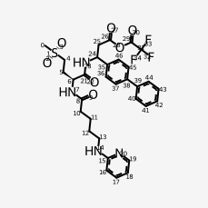 CS(=O)(=O)CC[C@H](NC(=O)CCCCNc1ccccn1)C(=O)NC(CC(=O)OC(=O)C(F)(F)F)c1ccc(-c2ccccc2)cc1